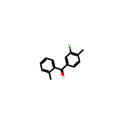 Cc1ccc(C(=O)c2ccccc2C)cc1Cl